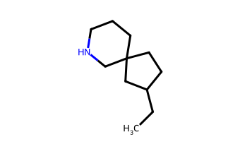 CCC1CCC2(CCCNC2)C1